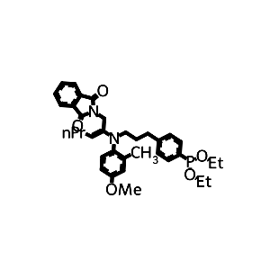 CCC/C=C(\CN1C(=O)c2ccccc2C1=O)N(CCCc1ccc(P(OCC)OCC)cc1)c1ccc(OC)cc1C